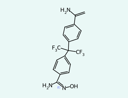 C=C(N)c1ccc(C(c2ccc(/C(N)=N\O)cc2)(C(F)(F)F)C(F)(F)F)cc1